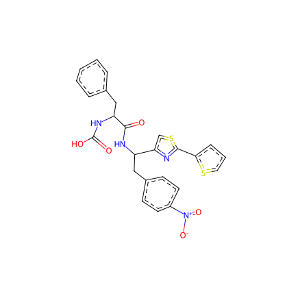 O=C(O)NC(Cc1ccccc1)C(=O)NC(Cc1ccc([N+](=O)[O-])cc1)c1csc(-c2cccs2)n1